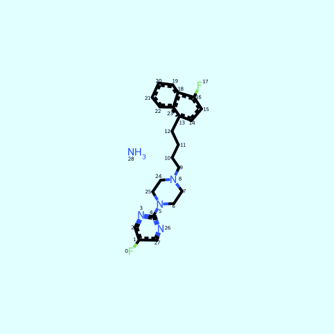 Fc1cnc(N2CCN(CCCCc3ccc(F)c4ccccc34)CC2)nc1.N